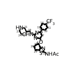 CC(=O)Nc1nc2c(Oc3cc(-c4ccc(C(F)(F)F)cc4)nc(NCC4CNCCO4)n3)cccc2s1